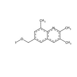 Cc1cc2cc(COI)cc(C)c2nc1C